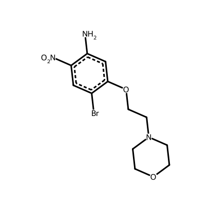 Nc1cc(OCCN2CCOCC2)c(Br)cc1[N+](=O)[O-]